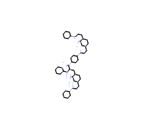 c1ccc(-c2ccc3ccc4ccc(-c5ccc(-c6nc7ccccc7c7nc8c(ccc9ccc(-c%10ccccc%10)nc98)cc67)cc5)nc4c3n2)cc1